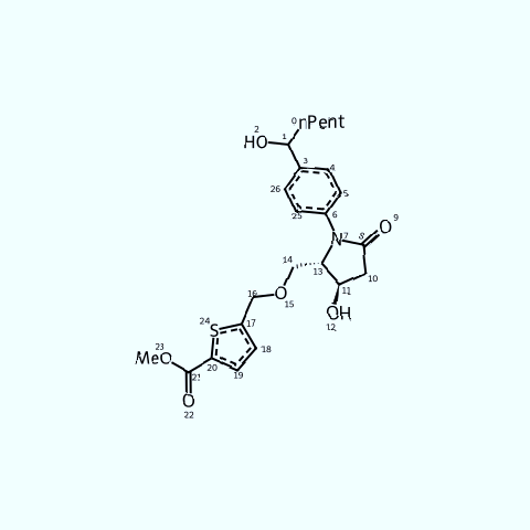 CCCCCC(O)c1ccc(N2C(=O)C[C@@H](O)[C@@H]2COCc2ccc(C(=O)OC)s2)cc1